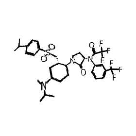 CC(C)c1ccc(S(=O)(=O)C[C@H]2C[C@H](N(C)C(C)C)CC[C@@H]2N2CC[C@H](N(C(=O)C(F)(F)F)c3cccc(C(F)(F)F)c3)C2=O)cc1